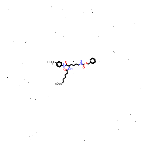 CCCCCCCCCCCCCCCC(=O)NC(CCCCNC(=O)OCc1ccccc1)C(=O)Nc1ccc(C(=O)O)cc1